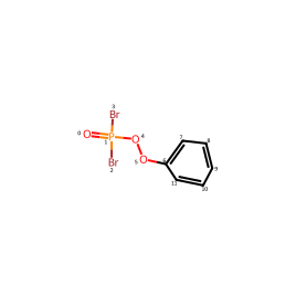 O=P(Br)(Br)OOc1ccccc1